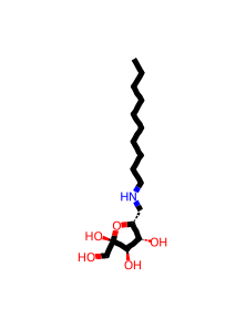 CCCCCCCCCCNC[C@H]1O[C@@](O)(CO)[C@H](O)[C@H]1O